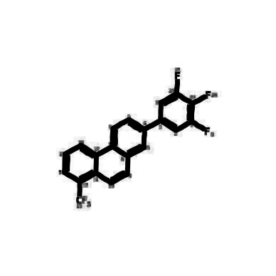 Fc1cc(-c2ccc3c(ccc4c(C(F)(F)F)cccc43)c2)cc(F)c1F